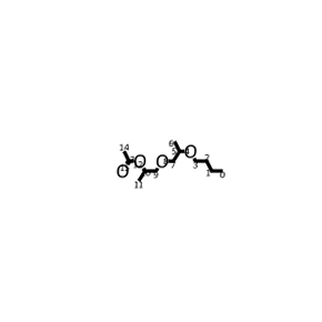 CCCCOC(C)COCC(C)OC(C)=O